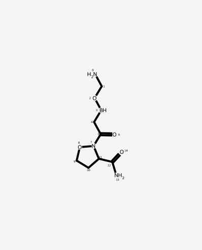 NCOBCC(=O)N1OCCC1C(N)=O